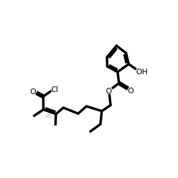 CCC(CCC/C(C)=C(/C)C(=O)Cl)COC(=O)c1ccccc1O